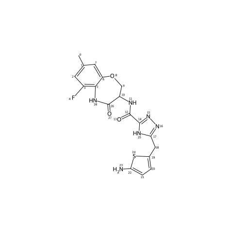 Cc1cc(F)c2c(c1)OCC(NC(=O)c1nnc(Cc3ccc(N)s3)[nH]1)C(=O)N2